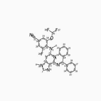 CN(c1cc2c(ncn2C)c(N=C(c2ccccc2)c2ccccc2)n1)c1c(F)cc(C#N)cc1OC(F)F